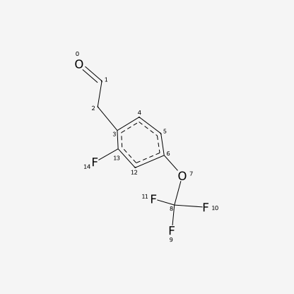 O=CCc1ccc(OC(F)(F)F)cc1F